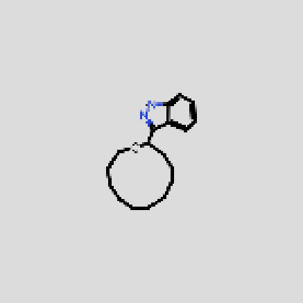 c1ccc2c(c1)[N]N=C2C1CCCCCCCCCCC1